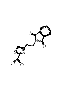 NC(=O)c1nc(CCN2C(=O)c3ccccc3C2=O)cs1